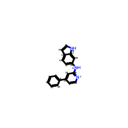 c1ccc(-c2ccnc(Nc3ccc4cc[nH]c4c3)c2)cc1